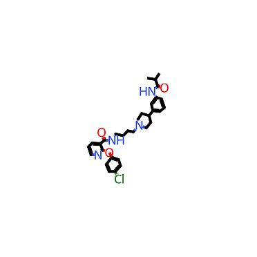 CC(C)C(=O)Nc1cccc(C2CCN(CCCCNC(=O)c3cccnc3Oc3ccc(Cl)cc3)CC2)c1